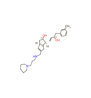 Cc1cccc(C[C@@H](O)/C=C/[C@@H]2[C@H]3CC(CNCCCN4CCCCC4)=C[C@H]3C[C@H]2O)c1